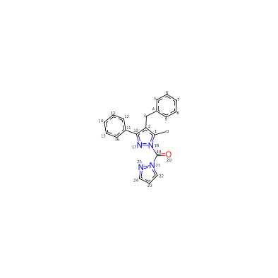 Cc1c(Cc2ccccc2)c(-c2ccccc2)nn1C(=O)n1cccn1